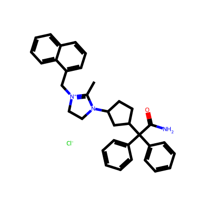 CC1=[N+](Cc2cccc3ccccc23)CCN1C1CCC(C(C(N)=O)(c2ccccc2)c2ccccc2)C1.[Cl-]